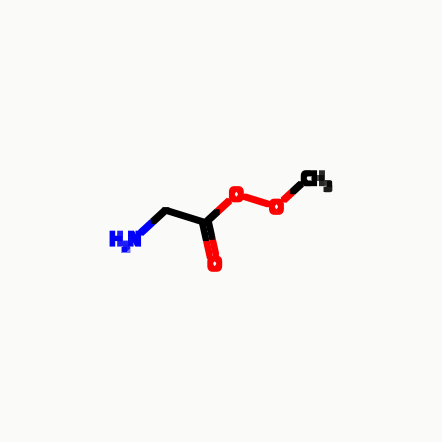 COOC(=O)CN